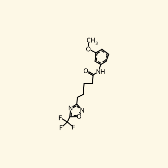 COc1cccc(NC(=O)CCCCc2noc(C(F)(F)F)n2)c1